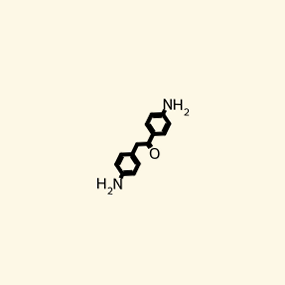 Nc1ccc(CC(=O)c2ccc(N)cc2)cc1